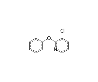 Clc1cccnc1Oc1ccccc1